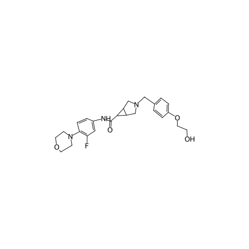 O=C(Nc1ccc(N2CCOCC2)c(F)c1)C1C2CN(Cc3ccc(OCCO)cc3)CC21